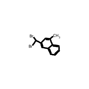 Cc1cc(C(Br)Br)cc2ccccc12